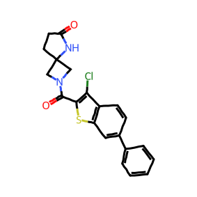 O=C1CCC2(CN(C(=O)c3sc4cc(-c5ccccc5)ccc4c3Cl)C2)N1